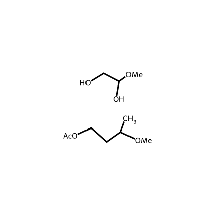 COC(C)CCOC(C)=O.COC(O)CO